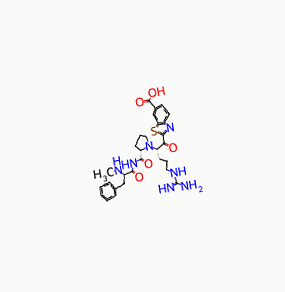 CN[C@H](Cc1ccccc1)C(=O)NC(=O)[C@@H]1CCCN1[C@@H](CCCNC(=N)N)C(=O)c1nc2ccc(C(=O)O)cc2s1